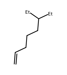 [CH]=CCCCC(CC)CC